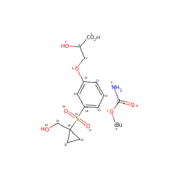 CC(C)(C)OC(N)=O.O=C(O)C(O)COc1cccc(S(=O)(=O)C2(CO)CC2)c1